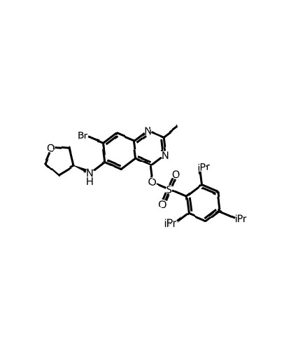 Cc1nc(OS(=O)(=O)c2c(C(C)C)cc(C(C)C)cc2C(C)C)c2cc(N[C@H]3CCOC3)c(Br)cc2n1